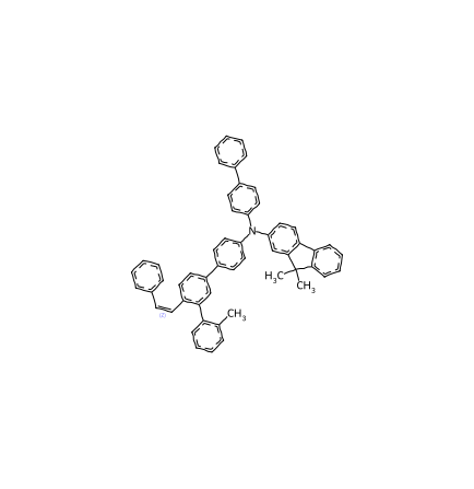 Cc1ccccc1-c1cc(-c2ccc(N(c3ccc(-c4ccccc4)cc3)c3ccc4c(c3)C(C)(C)c3ccccc3-4)cc2)ccc1/C=C\c1ccccc1